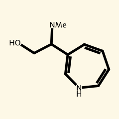 CNC(CO)C1=CNC=CC=C1